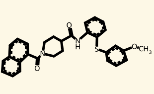 COc1cccc(Sc2ccccc2NC(=O)C2CCN(C(=O)c3cccc4ccccc34)CC2)c1